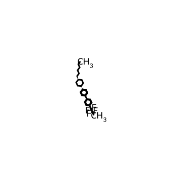 CCCCCC[C@H]1CC[C@H](c2ccc(-c3ccc(C(F)(F)C(C)(F)F)cc3)cc2)CC1